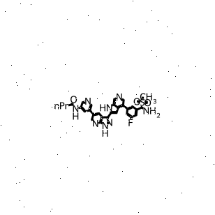 CCCC(=O)Nc1cncc(-c2cnc3[nH]nc(-c4cc5c(-c6cc(F)cc(C(N)S(C)(=O)=O)c6)cncc5[nH]4)c3c2)c1